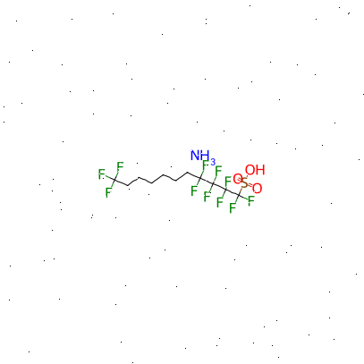 N.O=S(=O)(O)C(F)(F)C(F)(F)C(F)(F)C(F)(F)CCCCCCC(F)(F)F